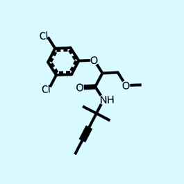 CC#CC(C)(C)NC(=O)C(COC)Oc1cc(Cl)cc(Cl)c1